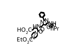 CCCS(=O)(=O)Nc1cc(C(=O)NC(CCC(=O)O)C(=O)N2CCN(C(=O)OCC)CC2)nc(-c2ccccc2)n1